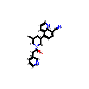 CC1CC(c2ccc(C#N)c3ncccc23)CN(C(=O)Cc2cccnc2)C1